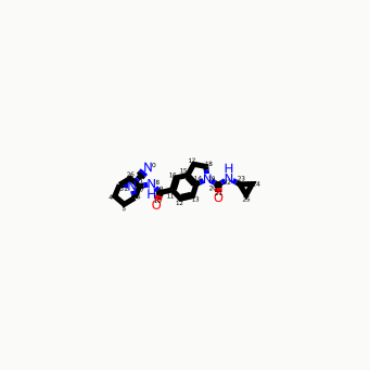 N#CN1C2CCC1C(NC(=O)c1ccc3c(c1)CCN3C(=O)NC1CC1)C2